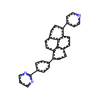 c1cnc(-c2ccc(-c3ccc4ccc5c(-c6ccncc6)ccc6ccc3c4c65)cc2)nc1